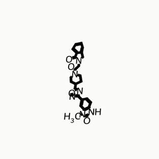 Cn1c(=O)[nH]c2ccc(-c3noc(C4CCN(C(=O)CN5Cc6ccccc6C5=O)CC4)n3)cc21